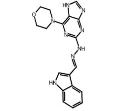 C(=N\Nc1nc(N2CCOCC2)c2[nH]cnc2n1)/c1c[nH]c2ccccc12